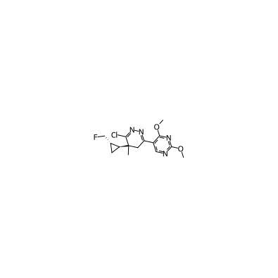 COc1ncc(C2=NN=C(Cl)C(C)([C@H]3C[C@@H]3CF)C2)c(OC)n1